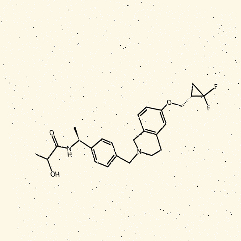 CC(O)C(=O)N[C@@H](C)c1ccc(CN2CCc3cc(OC[C@@H]4CC4(F)F)ccc3C2)cc1